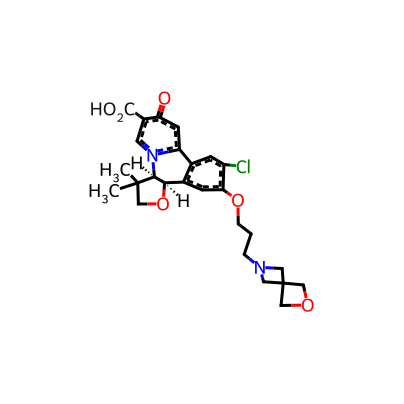 CC1(C)CO[C@@H]2c3cc(OCCCN4CC5(COC5)C4)c(Cl)cc3-c3cc(=O)c(C(=O)O)cn3[C@@H]21